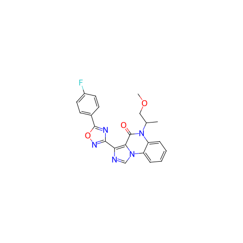 COCC(C)n1c(=O)c2c(-c3noc(-c4ccc(F)cc4)n3)ncn2c2ccccc21